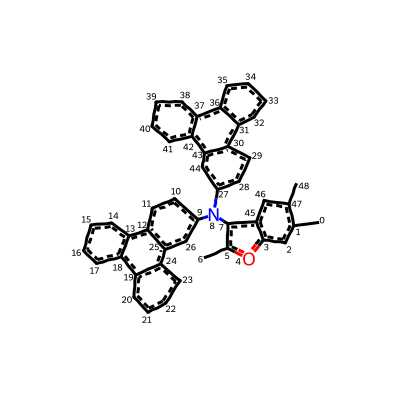 Cc1cc2oc(C)c(N(c3ccc4c5ccccc5c5ccccc5c4c3)c3ccc4c5ccccc5c5ccccc5c4c3)c2cc1C